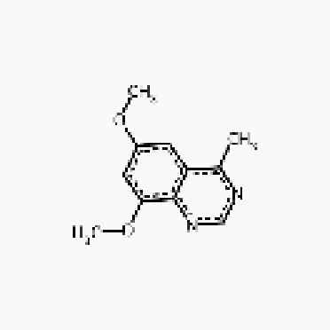 COc1cc(OC)c2ncnc(C)c2c1